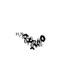 CO[C@@H]1[C@@H](COP(=O)(N[C@@H](C)C(=O)OC(C)C)Oc2ccccc2)O[C@@H](n2ccc(N)nc2=O)[C@@]1(F)Cl